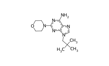 CC(C)(C)Cn1cnc2c(N)nc(N3CCOCC3)nc21